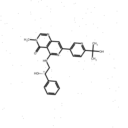 Cn1cnc2cc(-c3ccc(C(C)(C)O)nc3)nc(NC[C@@H](O)c3ccccc3)c2c1=O